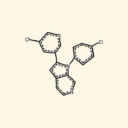 Clc1ccc(-n2c(-c3cncc(Cl)c3)cc3ccncc32)cc1